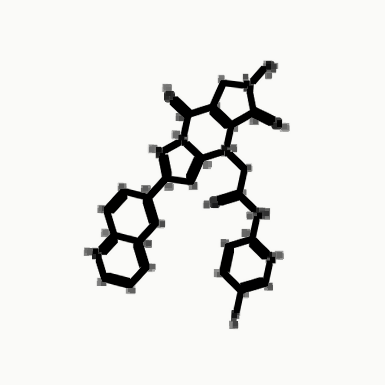 CC(C)N1Cc2c(n(CC(=O)Nc3ccc(F)cn3)c3cc(-c4ccc5ncccc5c4)nn3c2=O)C1=O